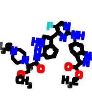 COC[C@H](C(=O)Nc1cccc2c(-c3nc(Nc4ccc5c(C(=O)OC)n[nH]c5c4)ncc3F)c[nH]c12)N1CCN(C)CC1